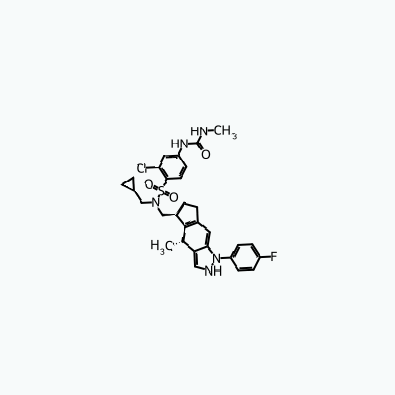 CNC(=O)Nc1ccc(S(=O)(=O)N(CC2CC2)C[C@H]2CCC3=C2[C@@H](C)C2=CNN(c4ccc(F)cc4)C2=C3)c(Cl)c1